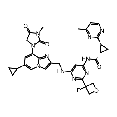 Cc1ccnc([C@H]2C[C@@H]2C(=O)Nc2cc(NCc3cn4cc(C5CC5)cc(N5CC(=O)N(C)C5=O)c4n3)nc(C3(F)COC3)n2)n1